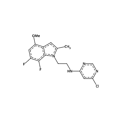 COc1cc(F)c(F)c2c1cc(C)n2CCNc1cc(Cl)ncn1